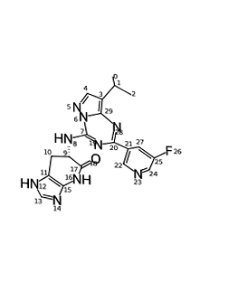 CC(C)c1cnn2c(N[C@H]3Cc4[nH]cnc4NC3=O)nc(-c3cncc(F)c3)nc12